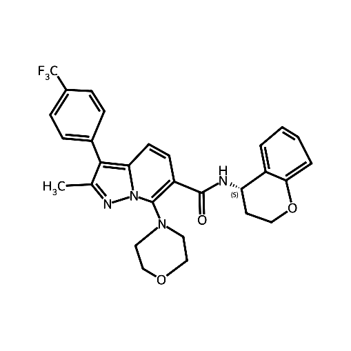 Cc1nn2c(N3CCOCC3)c(C(=O)N[C@H]3CCOc4ccccc43)ccc2c1-c1ccc(C(F)(F)F)cc1